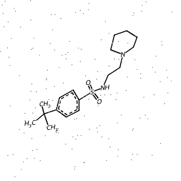 CC(C)(C)c1ccc(S(=O)(=O)NCCN2CCCCC2)cc1